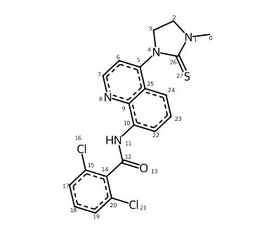 CN1CCN(c2ccnc3c(NC(=O)c4c(Cl)cccc4Cl)cccc23)C1=S